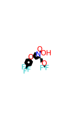 O=C(O)N1C[C@@H](Oc2ccc(C(F)(F)F)cc2)C[C@H]1CCOC(F)F